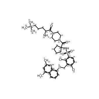 Cc1cc(C)c2cccc(OCc3c(Cl)ccc(S(=O)(=O)NC4(C(=O)N5CCN(C(=O)C(N)CCC[N+](C)(C)C)CC5)CCCC4)c3Cl)c2n1